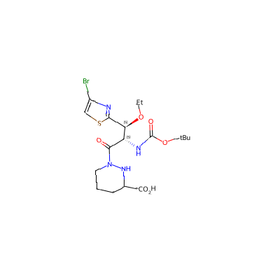 CCO[C@H](c1nc(Br)cs1)[C@H](NC(=O)OC(C)(C)C)C(=O)N1CCCC(C(=O)O)N1